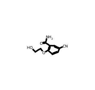 N#Cc1ccc(OCCO)c(C(N)=O)c1